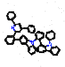 c1ccc(-c2cc(-c3ccccc3)nc(-c3ccccc3-c3ccc4c(c3)c3ccccc3n4-c3ccccc3-c3cccc4c5ccccc5n(-c5ccccc5)c34)c2)cc1